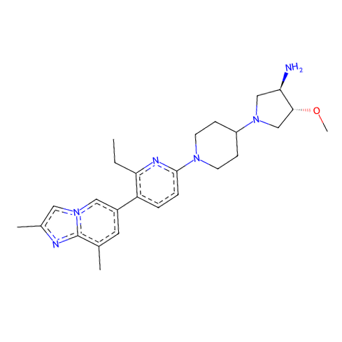 CCc1nc(N2CCC(N3C[C@@H](N)[C@H](OC)C3)CC2)ccc1-c1cc(C)c2nc(C)cn2c1